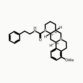 COc1cccc2c1CCN1C[C@H]3CCCN(C(=O)NCCc4ccccc4)[C@H]3C[C@H]21